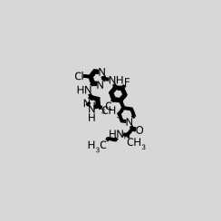 CCCN[C@H](C)C(=O)N1CCC(c2cc(F)c(Nc3ncc(Cl)c(Nc4cc(C)[nH]n4)n3)cc2C)CC1